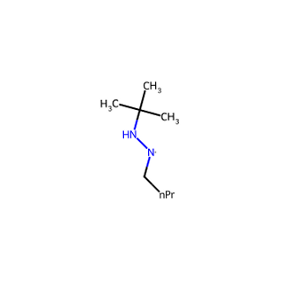 CCCC[N]NC(C)(C)C